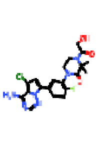 CC1(C)C(=O)N(c2cc(-c3cc(Cl)c4c(N)ncnn34)ccc2F)CCN1C(=O)CO